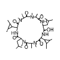 CC(C)CC1NC(=O)C(C)N(C)C(=O)C(C)N(C)C(=O)C(C2C(C)C2C)NC(=O)C(CC(C)C)N(C)C(=O)C(C)N(C)C(=O)C(C2C(C)C2C)NC1O